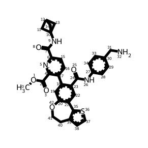 COC(=O)c1nc(C(=O)NC23CC(C2)C3)ccc1-c1cc2c(cc1C(=O)Nc1ccc(CN)cc1)-c1sccc1CCO2